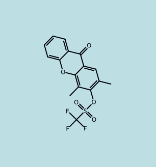 Cc1cc2c(=O)c3ccccc3oc2c(C)c1OS(=O)(=O)C(F)(F)F